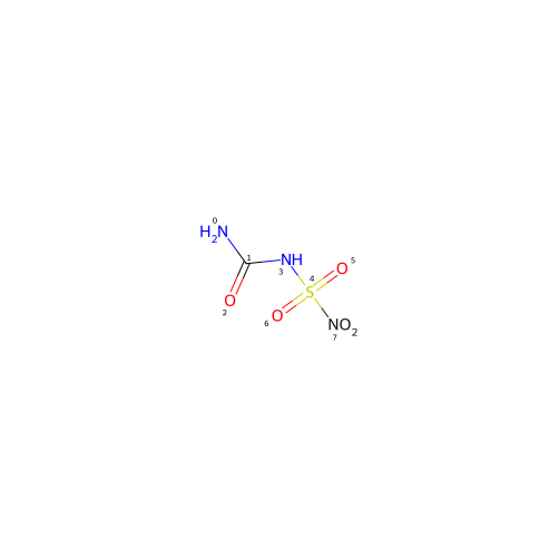 NC(=O)NS(=O)(=O)[N+](=O)[O-]